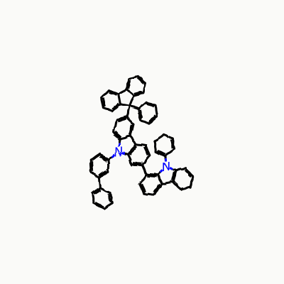 C1=CC(n2c3c(c4cccc(-c5ccc6c7cc(C8(c9ccccc9)c9ccccc9-c9ccccc98)ccc7n(-c7cccc(-c8ccccc8)c7)c6c5)c42)CCC=C3)=CCC1